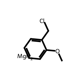 COc1ccccc1CCl.[MgH2]